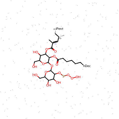 CCCCCCCCCCCCCCCC(=O)OC1C(OC2OC(CO)C(O)C(O)C2OSOOO)OC(CO)C(O)C1OC(=O)/C(C)=C/[C@@H](C)C[C@@H](C)CCC